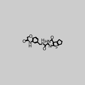 O=C1COc2ccc(CNC(=O)c3nc4sc5c(c4c(=O)[nH]3)CCC5)cc2N1